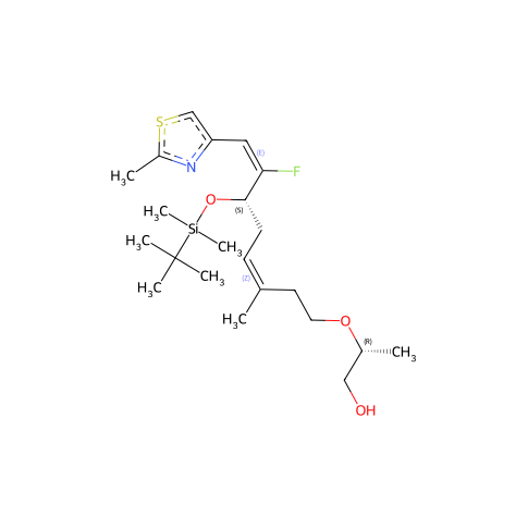 C/C(=C/C[C@H](O[Si](C)(C)C(C)(C)C)/C(F)=C\c1csc(C)n1)CCO[C@H](C)CO